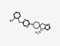 CC(C)c1ccccc1Sc1cnc(N2CCC3(CC2)Cn2nccc2[C@H]3N)cn1